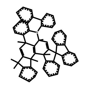 CC1(C)C2=CC3(C)C4=C(C2(C)c2ccccc21)C1(C)C(=CC4(C)N(c2ccccc2-c2ccccc2)c2ccccc23)C2(c3ccccc3-c3ccccc32)c2ccccc21